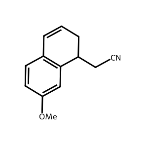 COc1ccc2c(c1)C(CC#N)CC=C2